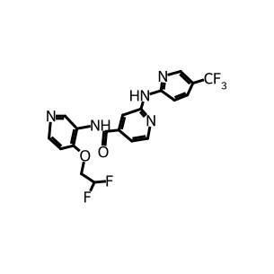 O=C(Nc1cnccc1OCC(F)F)c1ccnc(Nc2ccc(C(F)(F)F)cn2)c1